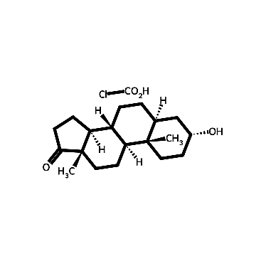 C[C@]12CC[C@@H](O)C[C@@H]1CC[C@@H]1[C@@H]2CC[C@]2(C)C(=O)CC[C@@H]12.O=C(O)Cl